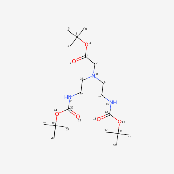 CC(C)(C)OC(=O)CN(CCNC(=O)OC(C)(C)C)CCNC(=O)OC(C)(C)C